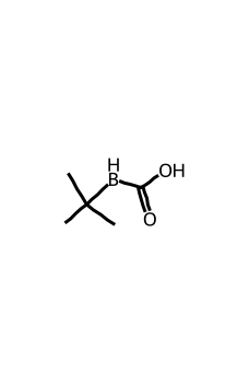 CC(C)(C)BC(=O)O